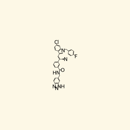 N#CC(=Cc1cn(Cc2ccc(F)cc2)c2cc(Cl)ccc12)c1cccc(C(=O)NCc2ccc3nn[nH]c3c2)c1